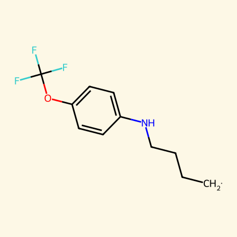 [CH2]CCCNc1ccc(OC(F)(F)F)cc1